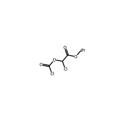 CC(C)OC(=O)C(Cl)OC(=O)Cl